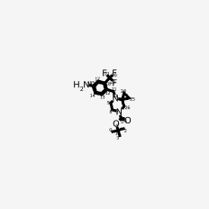 CC(C)(C)OC(=O)N1CCN(Cc2ccc(N)cc2C(F)(F)F)C2(CC2)C1